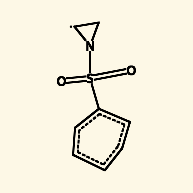 O=S(=O)(c1ccccc1)N1[CH]C1